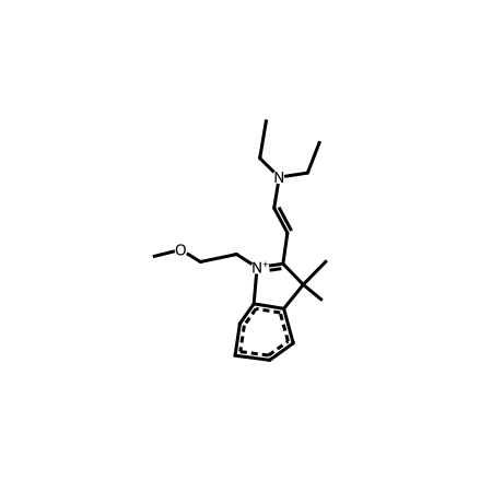 CCN(/C=C/C1=[N+](CCOC)c2ccccc2C1(C)C)CC